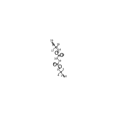 C#CC(C)(C)COC(=O)CCC(=O)OCC(C)(C)C#C